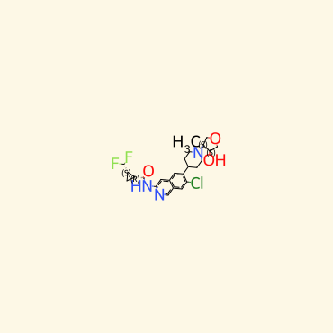 C[C@]1(N2CCC(c3cc4cc(NC(=O)[C@@H]5C[C@@H]5C(F)F)ncc4cc3Cl)CC2)COC[C@H]1O